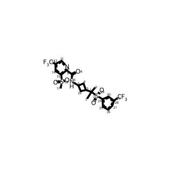 CC(C)(C1CC(NC(=O)c2ncc(C(F)(F)F)cc2S(C)(=O)=O)C1)S(=O)(=O)c1cccc(C(F)(F)F)c1